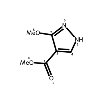 COC(=O)c1c[nH]nc1OC